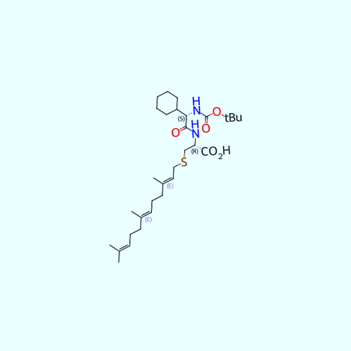 CC(C)=CCC/C(C)=C/CC/C(C)=C/CSC[C@H](NC(=O)[C@@H](NC(=O)OC(C)(C)C)C1CCCCC1)C(=O)O